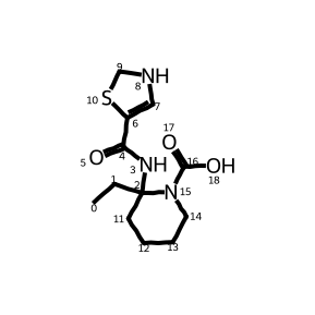 CCC1(NC(=O)C2=CNCS2)CCCCN1C(=O)O